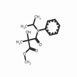 COC(=O)C(C)(O)C(=O)N(c1ccccc1)C(C)C